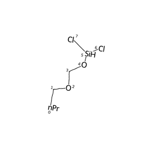 CCCCOCO[SiH](Cl)Cl